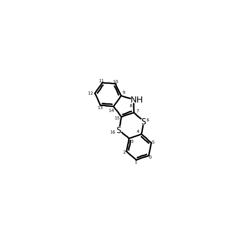 c1ccc2c(c1)Sc1[nH]c3ccccc3c1S2